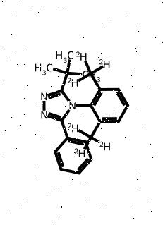 [2H]C([2H])([2H])c1cccc(C([2H])([2H])[2H])c1-n1c(-c2ccccc2)nnc1C(C)(C)C